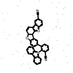 N#Cc1ccc2oc3c(c2c1)C=CC1Oc2ccc(-c4cccc(C#N)c4-n4c5ccccc5c5ccccc54)cc2C31